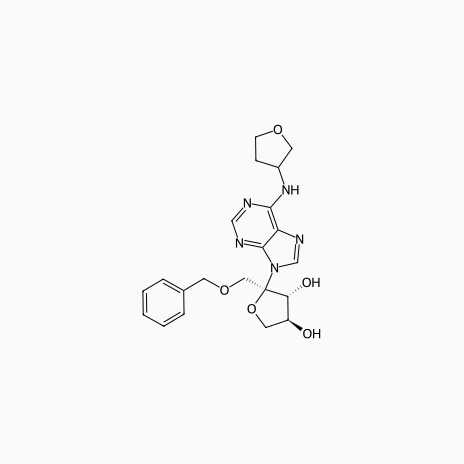 O[C@@H]1[C@@H](O)CO[C@@]1(COCc1ccccc1)n1cnc2c(NC3CCOC3)ncnc21